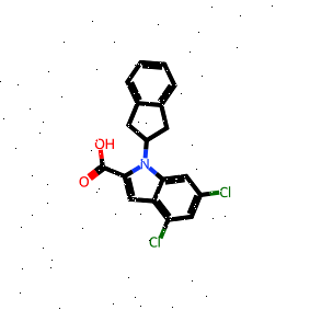 O=C(O)c1cc2c(Cl)cc(Cl)cc2n1C1Cc2ccccc2C1